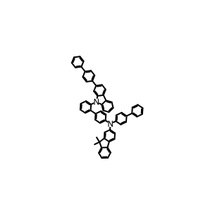 CC1(C)c2ccccc2-c2ccc(N(c3ccc(-c4ccccc4)cc3)c3ccc(-c4ccccc4-n4c5ccccc5c5ccc(-c6ccc(-c7ccccc7)cc6)cc54)cc3)cc21